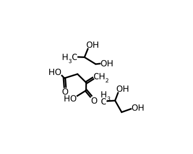 C=C(CC(=O)O)C(=O)O.CC(O)CO.CC(O)CO